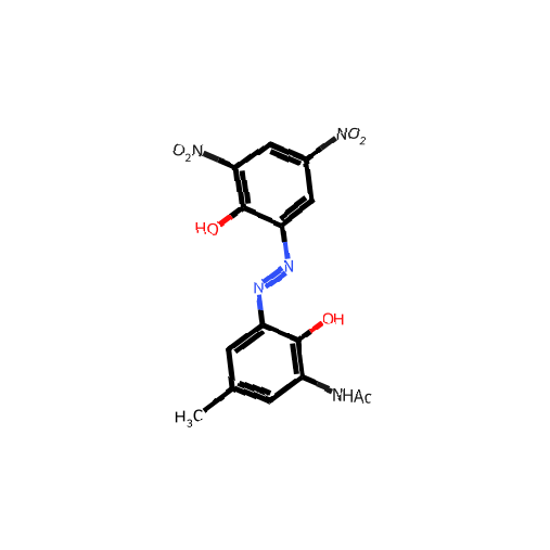 CC(=O)Nc1cc(C)cc(N=Nc2cc([N+](=O)[O-])cc([N+](=O)[O-])c2O)c1O